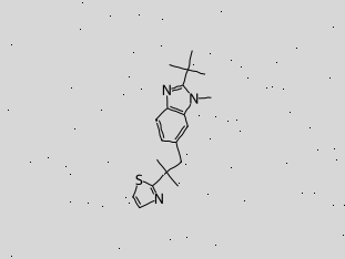 Cn1c(C(C)(C)C)nc2ccc(CC(C)(C)c3nccs3)cc21